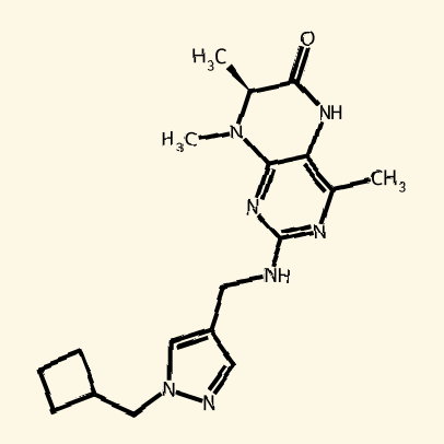 Cc1nc(NCc2cnn(CC3CCC3)c2)nc2c1NC(=O)[C@H](C)N2C